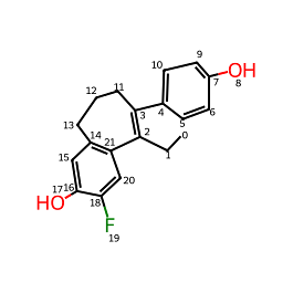 CCC1=C(c2ccc(O)cc2)CCCc2cc(O)c(F)cc21